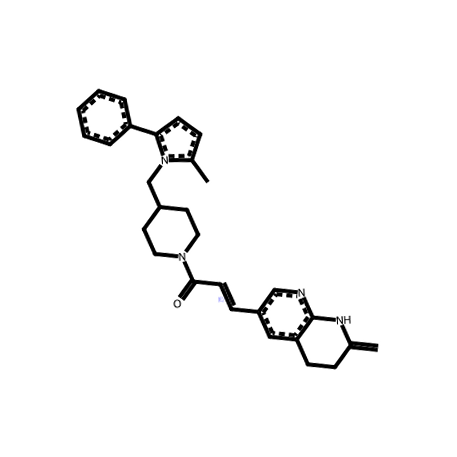 C=C1CCc2cc(/C=C/C(=O)N3CCC(Cn4c(C)ccc4-c4ccccc4)CC3)cnc2N1